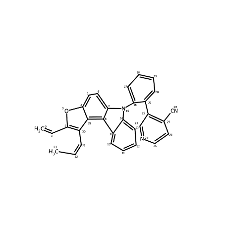 C=Cc1oc2ccc3c(c4ccccc4n3-c3ccccc3-c3cnccc3C#N)c2c1/C=C\C